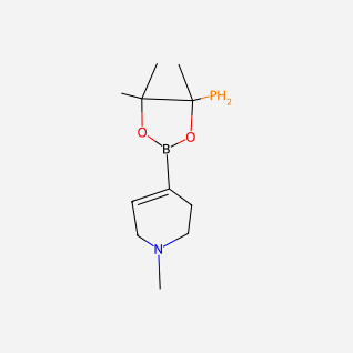 CN1CC=C(B2OC(C)(C)C(C)(P)O2)CC1